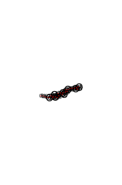 CCCCCCCCOc1ccc(C(=O)Oc2ccc3c(c2)Cc2cc(OC(=O)c4ccc(OCCCCCCOCC5(C)COC5)cc4)ccc2-3)cc1